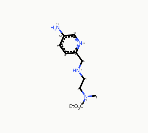 CCOC(=O)N(C)CCNCc1ccc(N)cn1